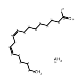 CCCCC/C=C\C/C=C\CCCCCCCC(=O)I.[AlH3]